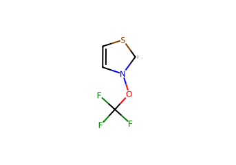 FC(F)(F)ON1[C]SC=C1